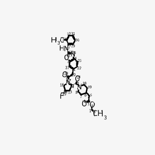 CCOC(=O)CC1CCN(C(=O)[C@@H]2C[C@H](F)CN2C(=O)Cc2ccc3nc(Nc4ccccc4C)oc3c2)CC1